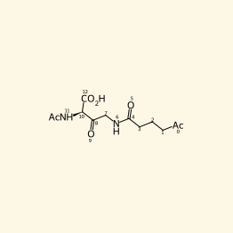 CC(=O)CCCC(=O)NCC(=O)[C@@H](NC(C)=O)C(=O)O